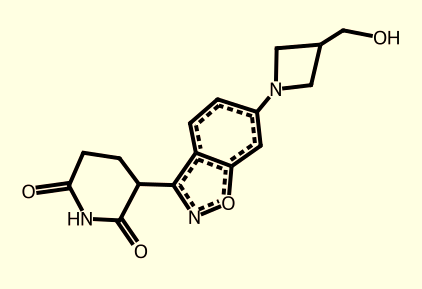 O=C1CCC(c2noc3cc(N4CC(CO)C4)ccc23)C(=O)N1